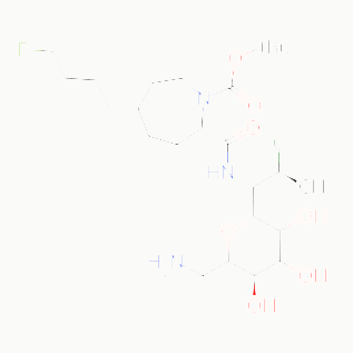 C[C@H](Cl)[C@@H](NC(=O)[C@@H]1CC[C@H](CCCCF)CCN1C(=O)OC(C)(C)C)[C@H]1OC(CN)[C@H](O)C(O)C1O